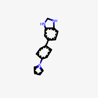 c1ccn(-c2ccc(-c3ccc4c(c3)NCN4)cc2)c1